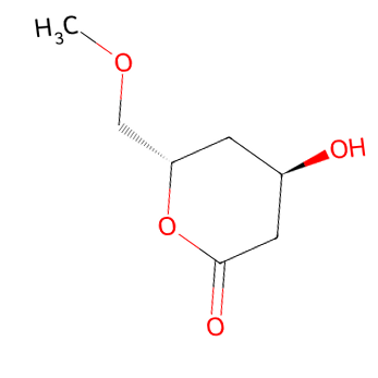 COC[C@@H]1C[C@@H](O)CC(=O)O1